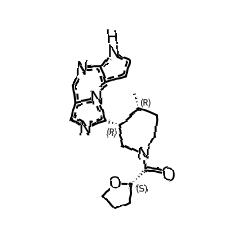 C[C@@H]1CCN(C(=O)[C@@H]2CCCO2)C[C@@H]1c1ncc2cnc3[nH]ccc3n12